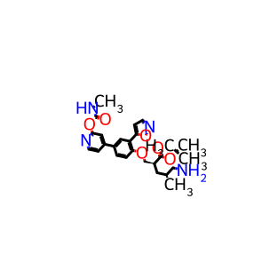 CNC(=O)Oc1cc(-c2ccc(OC[C@H](C[C@H](C)CN)C(=O)OC(C)(C)C)c(-c3ccno3)c2)ccn1